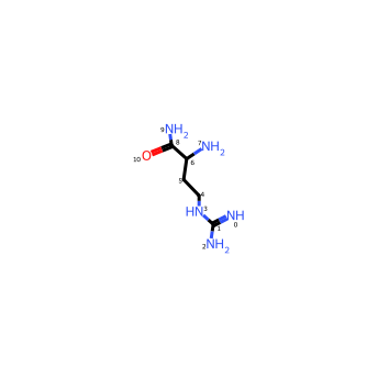 N=C(N)NCCC(N)C(N)=O